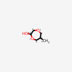 CC1COCC(O)OC1